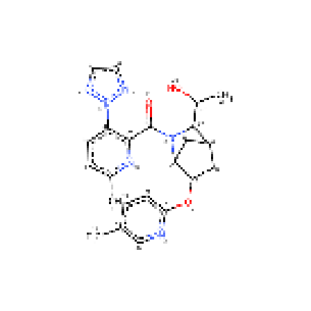 Cc1ccc(-n2nccn2)c(C(=O)N2C3CC(CC3Oc3ccc(C(F)(F)F)cn3)C2C(C)O)n1